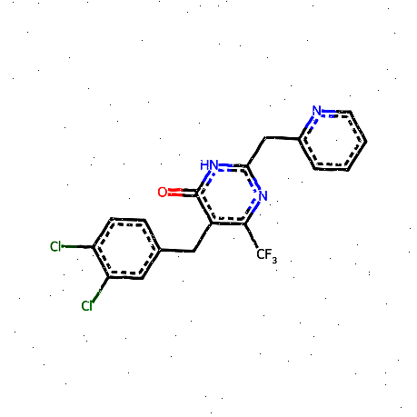 O=c1[nH]c(Cc2ccccn2)nc(C(F)(F)F)c1Cc1ccc(Cl)c(Cl)c1